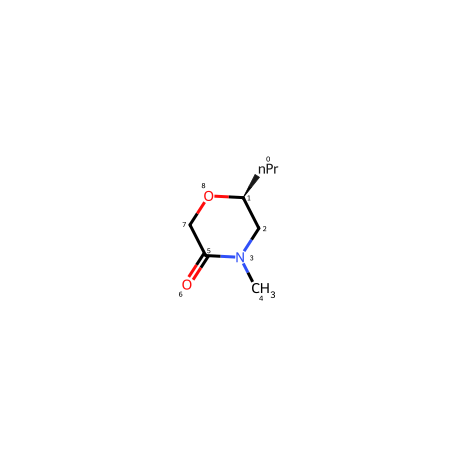 CCC[C@H]1CN(C)C(=O)CO1